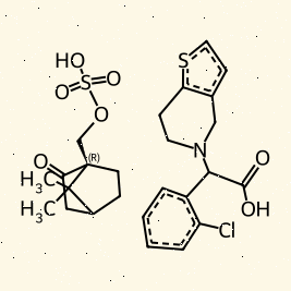 CC1(C)C2CC[C@@]1(COS(=O)(=O)O)C(=O)C2.O=C(O)C(c1ccccc1Cl)N1CCc2sccc2C1